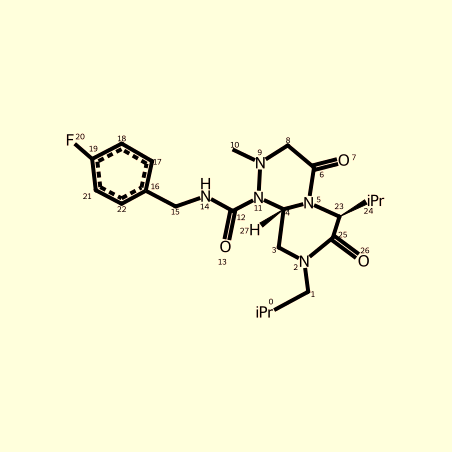 CC(C)CN1C[C@H]2N(C(=O)CN(C)N2C(=O)NCc2ccc(F)cc2)[C@@H](C(C)C)C1=O